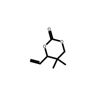 C=CC1OC(=O)OCC1(C)C